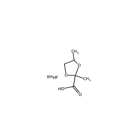 CC1COC(C)(C(=O)O)O1.F.[KH]